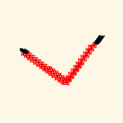 O=C(O)O.O=C(O)O.O=C(O)O.O=C(O)O.O=C(O)O.O=C(O)O.O=C(O)O.O=C(O)O.O=C(O)O.O=C(O)O.O=C(O)O.O=C(O)O.O=C([O-])O.O=C([O-])O.O=C([O-])O.O=C([O-])O.O=C([O-])O.O=C([O-])O.O=C([O-])O.O=C([O-])O.O=C([O-])O.O=C([O-])O.O=C([O-])O.O=C([O-])O.O=C([O-])O.[Na+].[Na+].[Na+].[Na+].[Na+].[Na+].[Na+].[Na+].[Na+].[Na+].[Na+].[Na+].[Na+]